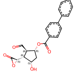 O=C[C@@H]1[C@@H]([C@@H]2OC2=O)[C@@H](O)C[C@H]1OC(=O)c1ccc(-c2ccccc2)cc1